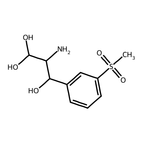 CS(=O)(=O)c1cccc(C(O)C(N)C(O)O)c1